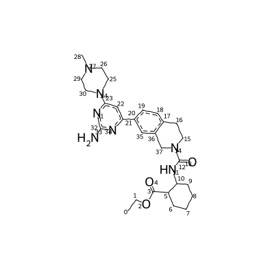 CCOC(=O)C1CCCCC1NC(=O)N1CCc2ccc(-c3cc(N4CCN(C)CC4)nc(N)n3)cc2C1